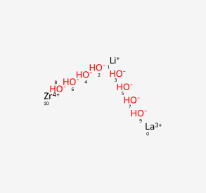 [La+3].[Li+].[OH-].[OH-].[OH-].[OH-].[OH-].[OH-].[OH-].[OH-].[Zr+4]